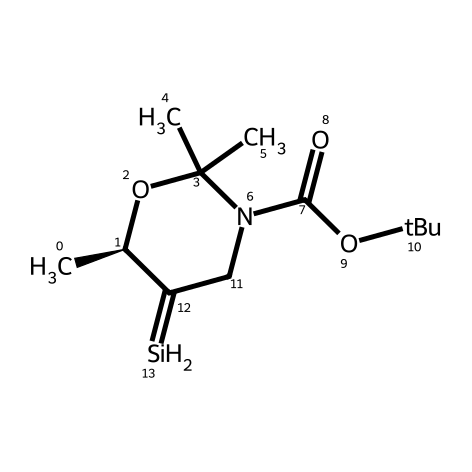 C[C@H]1OC(C)(C)N(C(=O)OC(C)(C)C)CC1=[SiH2]